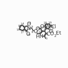 CCOC(=O)C1=C(C)NC(COCCN2C(=O)c3ccccc3C2=O)=C(C(=O)OC)C1c1cccc(Cl)c1Cl